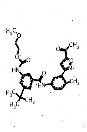 COCCOC(=O)Nc1cc(C(=O)Nc2ccc(C)c(-c3cc(C(C)=O)on3)c2)cc(C(C)(C)C)c1